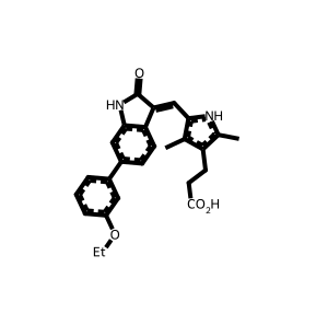 CCOc1cccc(-c2ccc3c(c2)NC(=O)C3=Cc2[nH]c(C)c(CCC(=O)O)c2C)c1